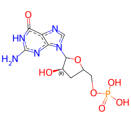 Nc1nc2c(ncn2C2OC(COP(=O)(O)O)C[C@H]2O)c(=O)[nH]1